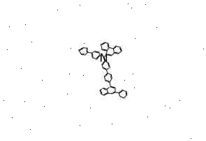 C1=CCCC(c2cc(-c3ccc(-c4ccc(N(c5ccc(-c6ccccc6)cc5)c5cc6ccccc6c6ccccc56)cc4)cc3)c3ccccc3c2)=C1